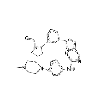 CN1CCN(c2ccc(Nc3ncc4ccc(-c5cccc(C6CCCN6C=O)c5)n4n3)cc2)CC1